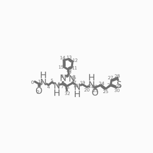 CC(=O)NCCNc1nc(-c2ccccc2)nc(NCCNC(=O)C=Cc2ccsc2)c1C